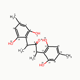 Cc1cc(O)c(C(C)C(=O)C(C)c2c(O)cc(C)cc2O)c(O)c1